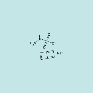 NNS(=O)(=O)[O-].[Na+].c1cc2ccc1-2